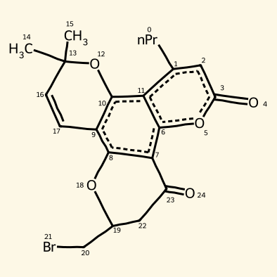 CCCc1cc(=O)oc2c3c(c4c(c12)OC(C)(C)C=C4)OC(CBr)CC3=O